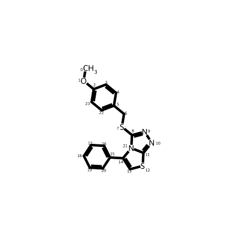 COc1ccc(CSc2nnc3scc(-c4ccccc4)n23)cc1